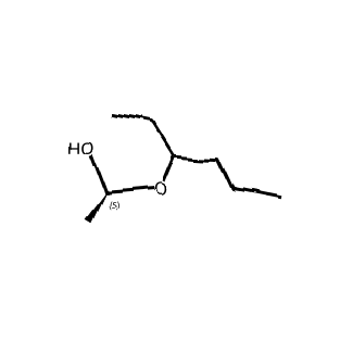 CCCC(CC)O[C@@H](C)O